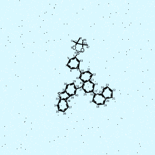 CC1(C)OB(c2cccc(-c3ccc4cc(-c5cccc6ccccc56)cc(-c5ccc6sc7ccccc7c6c5)c4c3)c2)OC1(C)C